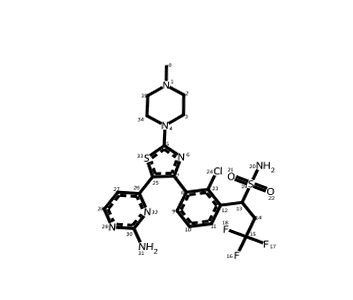 CN1CCN(c2nc(-c3cccc(C(CC(F)(F)F)S(N)(=O)=O)c3Cl)c(-c3ccnc(N)n3)s2)CC1